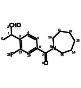 CC(C=O)c1ccc(C(=O)N2CCCCCC2)cc1F